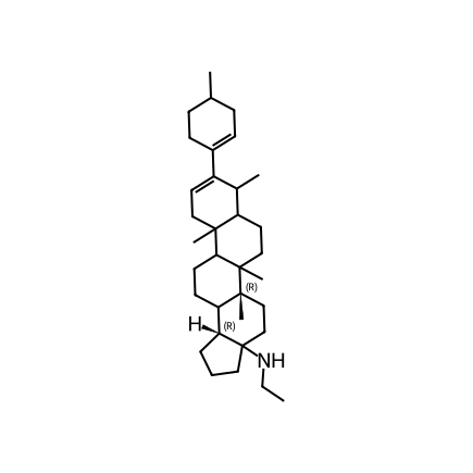 CCNC12CCC[C@@H]1C1CCC3C4(C)CC=C(C5=CCC(C)CC5)C(C)C4CCC3(C)[C@]1(C)CC2